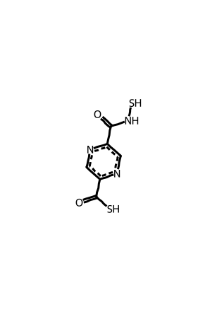 O=C(S)c1cnc(C(=O)NS)cn1